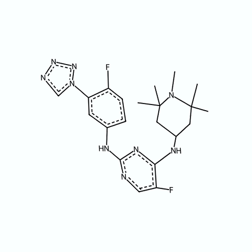 CN1C(C)(C)CC(Nc2nc(Nc3ccc(F)c(-n4cnnn4)c3)ncc2F)CC1(C)C